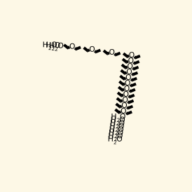 CCOCC.CCOCC.CCOCC.CCOCC.CCOCC.CCOCC.CCOCC.CCOCC.CCOCC.CCOCC.CCOCC.CCOCC.CCOCC.CCOCC.O.O.O.O.O.O.O.O.O.O.O